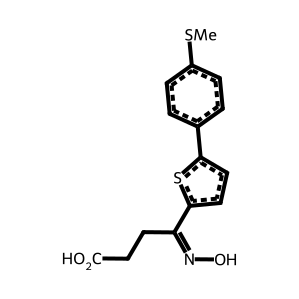 CSc1ccc(-c2ccc(/C(CCC(=O)O)=N\O)s2)cc1